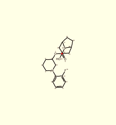 O=C(OC1CCCN(c2ccccc2F)C1)N1C2CCC1CC(O)C2